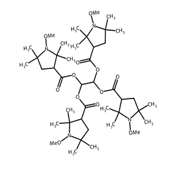 CON1C(C)(C)CC(C(=O)OC(OC(=O)C2CC(C)(C)N(OC)C2(C)C)C(OC(=O)C2CC(C)(C)N(OC)C2(C)C)OC(=O)C2CC(C)(C)N(OC)C2(C)C)C1(C)C